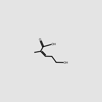 CC(=CC[CH]O)C(=O)O